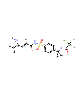 CN[C@H](/C=C(\C)C(=O)NS(=O)(=O)c1ccc(C2(NC(=O)C(F)(F)F)CC2)cc1)C(C)C